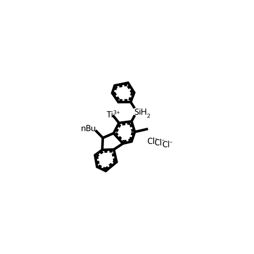 CCCCC1c2ccccc2-c2cc(C)c([SiH2]c3ccccc3)[c]([Ti+3])c21.[Cl-].[Cl-].[Cl-]